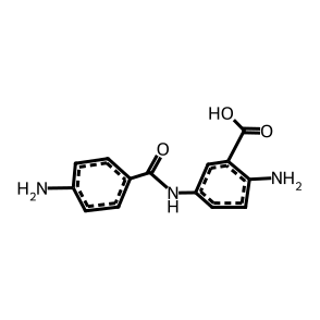 Nc1ccc(C(=O)Nc2ccc(N)c(C(=O)O)c2)cc1